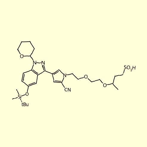 CC(CCS(=O)(=O)O)OCCOCCn1cc(-c2nn(C3CCCCO3)c3ccc(O[Si](C)(C)C(C)(C)C)cc23)cc1C#N